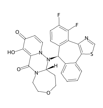 O=C1c2c(O)c(=O)ccn2N([C@@H]2c3ccccc3-c3scnc3-c3c2ccc(F)c3F)[C@@H]2CCOCCN12